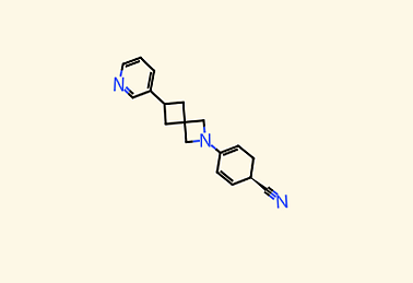 N#C[C@H]1C=CC(N2CC3(CC(c4cccnc4)C3)C2)=CC1